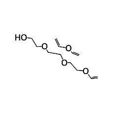 C=COC=C.C=COCCOCCOCCO